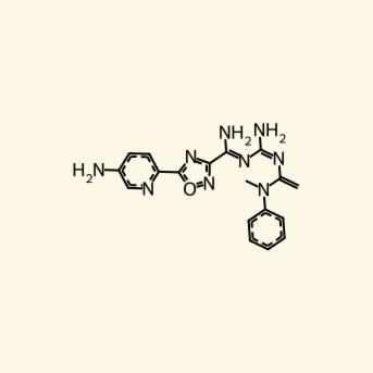 C=C(/N=C(N)\N=C(/N)c1noc(-c2ccc(N)cn2)n1)N(C)c1ccccc1